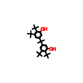 CC(C)(C)c1cc(C(C)(C)c2cc(O)c(C(C)(C)C)c(C(C)(C)C)c2)cc(O)c1C(C)(C)C